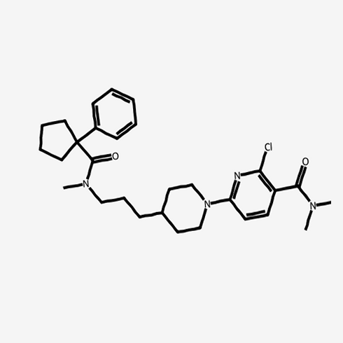 CN(C)C(=O)c1ccc(N2CCC(CCCN(C)C(=O)C3(c4ccccc4)CCCC3)CC2)nc1Cl